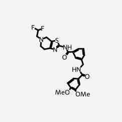 COc1ccc(C(=O)NCc2cccc(C(=O)Nc3nc4c(s3)CN(CC(F)F)CC4)c2)cc1OC